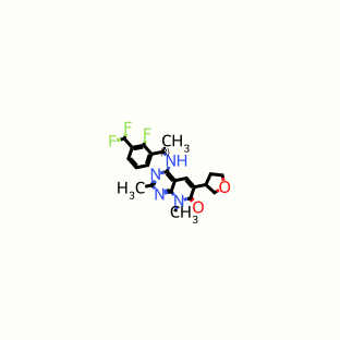 Cc1nc(N[C@H](C)c2cccc(C(F)F)c2F)c2cc(C3CCOC3)c(=O)n(C)c2n1